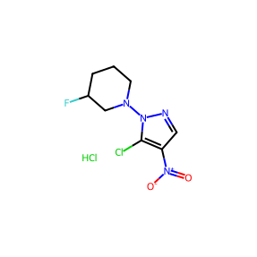 Cl.O=[N+]([O-])c1cnn(N2CCCC(F)C2)c1Cl